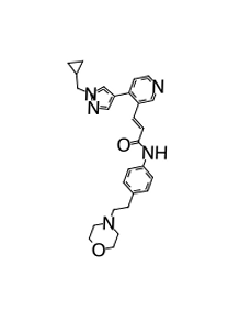 O=C(C=Cc1cnccc1-c1cnn(CC2CC2)c1)Nc1ccc(CCN2CCOCC2)cc1